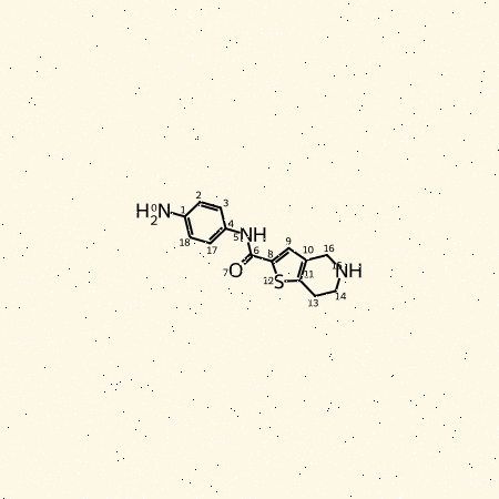 Nc1ccc(NC(=O)c2cc3c(s2)CCNC3)cc1